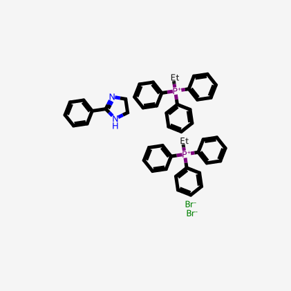 CC[P+](c1ccccc1)(c1ccccc1)c1ccccc1.CC[P+](c1ccccc1)(c1ccccc1)c1ccccc1.[Br-].[Br-].c1ccc(C2=NCCN2)cc1